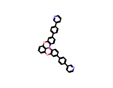 O=P12c3ccc(-c4ccc(-c5cccnc5)cc4)cc3Oc3cccc(c31)Oc1cc(-c3ccc(-c4cccnc4)cc3)ccc12